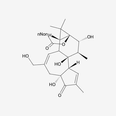 CCCCCCCCCC(=O)O[C@@]12[C@H](O)[C@@H](C)[C@@]3(O)C(C=C(CO)C[C@]4(O)C(=O)C(C)=C[C@@H]34)[C@@H]1C2(C)C